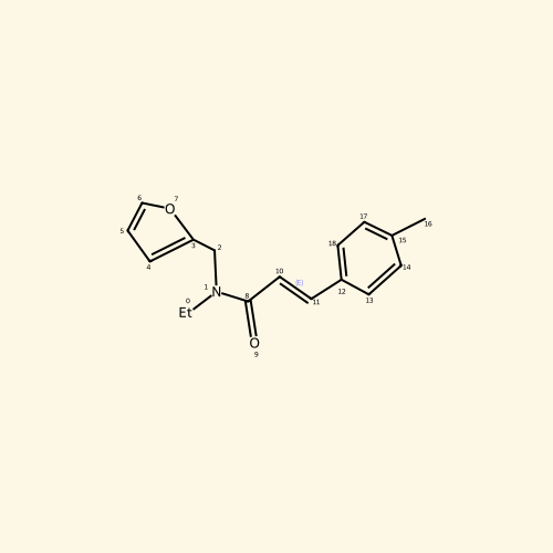 CCN(Cc1ccco1)C(=O)/C=C/c1ccc(C)cc1